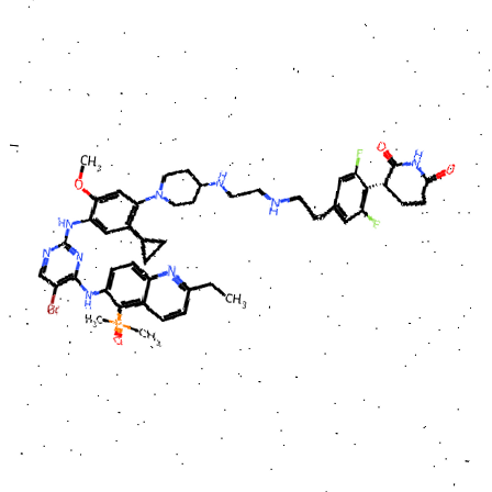 CCc1ccc2c(P(C)(C)=O)c(Nc3nc(Nc4cc(C5CC5)c(N5CCC(NCCNCCc6cc(F)c([C@H]7CCC(=O)NC7=O)c(F)c6)CC5)cc4OC)ncc3Br)ccc2n1